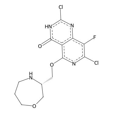 O=c1[nH]c(Cl)nc2c(F)c(Cl)nc(OC[C@@H]3COCCCN3)c12